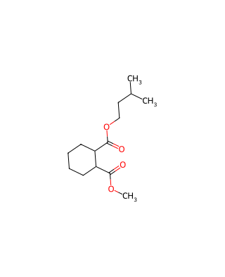 COC(=O)C1CCCCC1C(=O)OCCC(C)C